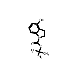 CC(C)(C)OC(=O)N1CCc2c(O)cccc21